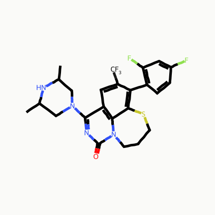 CC1CN(c2nc(=O)n3c4c(c(-c5ccc(F)cc5F)c(C(F)(F)F)cc24)SCCC3)CC(C)N1